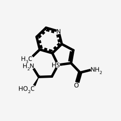 Cc1ccnc2c1[SH](C[C@H](N)C(=O)O)C(C(N)=O)=C2